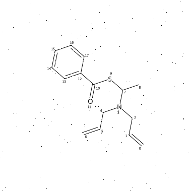 C=CCN(CC=C)C(C)SC(=O)c1ccccc1